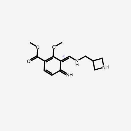 COC(=O)C1=C(OC)/C(=C/NCC2CNC2)C(=N)C=C1